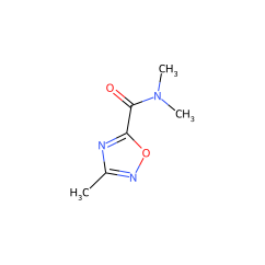 Cc1noc(C(=O)N(C)C)n1